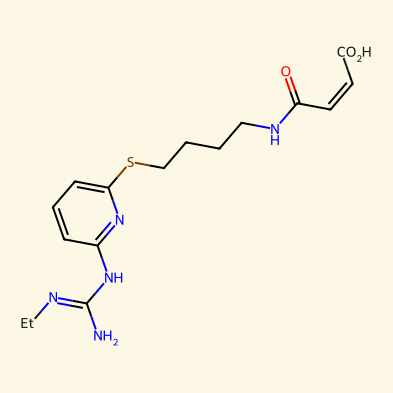 CCN=C(N)Nc1cccc(SCCCCNC(=O)/C=C\C(=O)O)n1